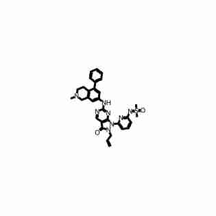 C=CCn1c(=O)c2cnc(Nc3cc4c(c(-c5ccccc5)c3)CCN(C)C4)nc2n1-c1cccc(N=S(C)(C)=O)n1